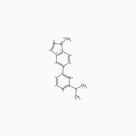 CC(C)c1nccc(-c2ccc3c(cnn3C)c2)n1